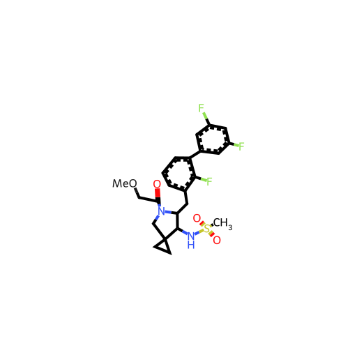 COCC(=O)N1CC2(CC2)C(NS(C)(=O)=O)C1Cc1cccc(-c2cc(F)cc(F)c2)c1F